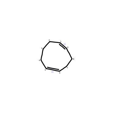 C1=C\CCC/C=C\CC/1